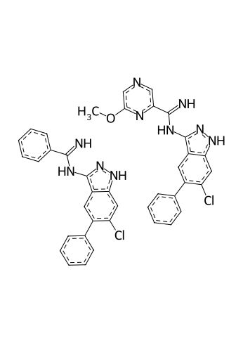 COc1cncc(C(=N)Nc2n[nH]c3cc(Cl)c(-c4ccccc4)cc23)n1.N=C(Nc1n[nH]c2cc(Cl)c(-c3ccccc3)cc12)c1ccccc1